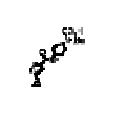 CC(C)(C)N(C(=O)O)C1CCC(NC(=O)c2cc(C3CC3)on2)CC1